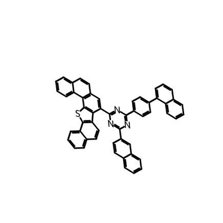 c1ccc2cc(-c3nc(-c4ccc(-c5cccc6ccccc56)cc4)nc(-c4cc5ccc6ccccc6c5c5sc6c7ccccc7ccc6c45)n3)ccc2c1